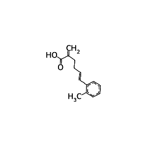 C=C(CCC=Cc1ccccc1C)C(=O)O